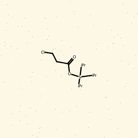 CC(C)[Si](OC(=O)CCCl)(C(C)C)C(C)C